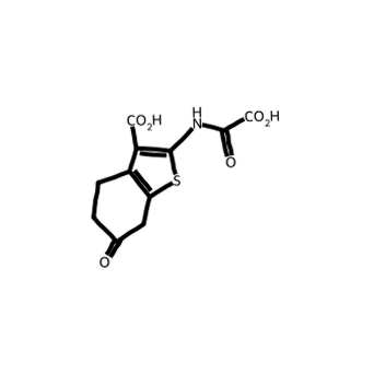 O=C1CCc2c(sc(NC(=O)C(=O)O)c2C(=O)O)C1